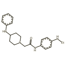 CCNc1ccc(NC(=O)CN2CCC(Nc3ccccc3)CC2)cc1